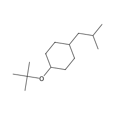 CC(C)CC1CCC(OC(C)(C)C)CC1